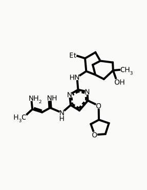 CCC1CC2CC(CC(C)(O)C2)C1Nc1nc(NC(=N)/C=C(/C)N)cc(OC2CCOC2)n1